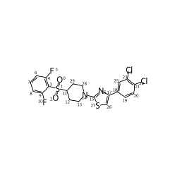 O=S(=O)(c1c(F)cccc1F)C1CCN(c2nc(-c3ccc(Cl)c(Cl)c3)cs2)CC1